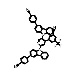 N#Cc1ccc(-c2ccc3c(c2)c2ccccc2n3-c2cc(-c3cc(C#N)cc(C(F)(F)F)c3)c(-n3c4ccccc4c4cc(-c5ccc(C#N)cc5)ccc43)cn2)cc1